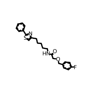 O=C(COCc1ccc(F)cc1)NCCCCCc1csc(-c2ccccc2)n1